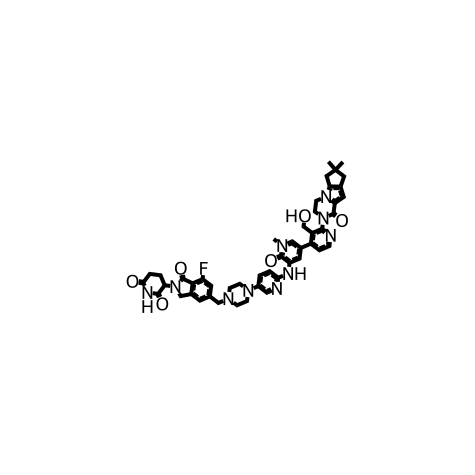 Cn1cc(-c2ccnc(N3CCn4c(cc5c4CC(C)(C)C5)C3=O)c2CO)cc(Nc2ccc(N3CCN(Cc4cc(F)c5c(c4)CN(C4CCC(=O)NC4=O)C5=O)CC3)cn2)c1=O